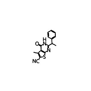 Cc1c(C#N)sc2nc(C(C)c3ccccc3)[nH]c(=O)c12